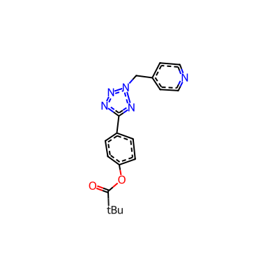 CC(C)(C)C(=O)Oc1ccc(-c2nnn(Cc3ccncc3)n2)cc1